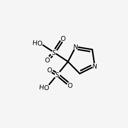 O=S(=O)(O)C1(S(=O)(=O)O)C=NC=N1